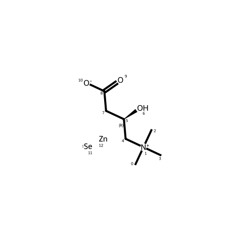 C[N+](C)(C)C[C@H](O)CC(=O)[O-].[Se].[Zn]